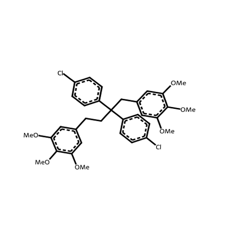 COc1cc(CCC(Cc2cc(OC)c(OC)c(OC)c2)(c2ccc(Cl)cc2)c2ccc(Cl)cc2)cc(OC)c1OC